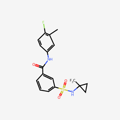 Cc1cc(NC(=O)c2cccc(S(=O)(=O)NC3(C(F)(F)F)CC3)c2)ccc1F